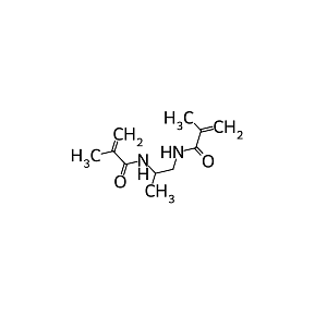 C=C(C)C(=O)NCC(C)NC(=O)C(=C)C